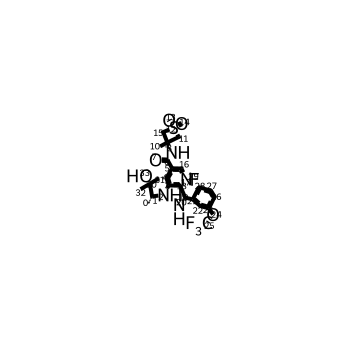 C[C@@H](Nc1cc(C(=O)NC2(C)CS(=O)(=O)C2)cnc1C(=N)c1cc(OC(F)(F)F)ccc1F)C(C)(C)O